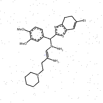 CCC1=Cc2sc(C(c3ccc(OC)c(OC)c3)N(N)/C=C(\N)CCN3CCCCC3)nc2CC1